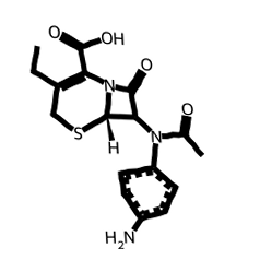 CCC1=C(C(=O)O)N2C(=O)C(N(C(C)=O)c3ccc(N)cc3)[C@@H]2SC1